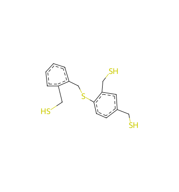 SCc1ccc(SCc2ccccc2CS)c(CS)c1